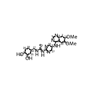 COc1cc2ncnc(Nc3cnc(NC(=S)NCc4ccc(O)c(O)c4)nc3)c2cc1OC